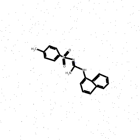 Cc1ccc(S(=O)(=O)/N=C(\N)Nc2cccc3ccccc23)cc1